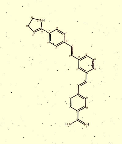 N=C(N)c1ccc(/C=C/c2cccc(/C=C/c3ccc(C4=NCCN4)cc3)c2)cc1